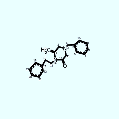 C=C1CN(Cc2ccccc2)CC(=O)N1CCc1ccccc1